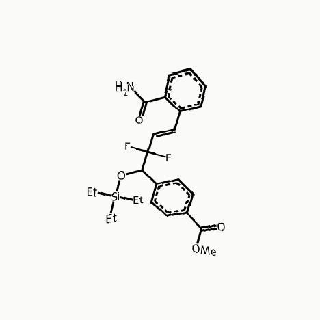 CC[Si](CC)(CC)OC(c1ccc(C(=O)OC)cc1)C(F)(F)C=Cc1ccccc1C(N)=O